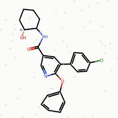 O=C(NC1CCCC[C@H]1O)c1cnc(Oc2ccccc2)c(-c2ccc(Cl)cc2)c1